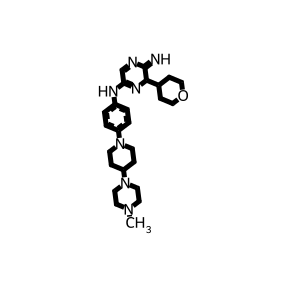 CN1CCN(C2CCN(c3ccc(NC4=NC(C5CCOCC5)C(=N)N=C4)cc3)CC2)CC1